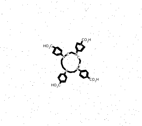 O=C(O)c1ccc(N2CCCN(c3ccc(C(=O)O)cc3)CCN(c3ccc(C(=O)O)cc3)CCCN(c3ccc(C(=O)O)cc3)CC2)cc1